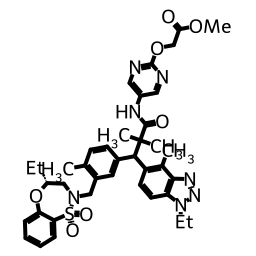 CC[C@@H]1CN(Cc2cc(C(c3ccc4c(nnn4CC)c3C)C(C)(C)C(=O)Nc3cnc(OCC(=O)OC)nc3)ccc2C)S(=O)(=O)c2ccccc2O1